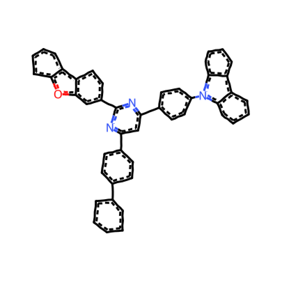 c1ccc(-c2ccc(-c3cc(-c4ccc(-n5c6ccccc6c6ccccc65)cc4)nc(-c4ccc5c(c4)oc4ccccc45)n3)cc2)cc1